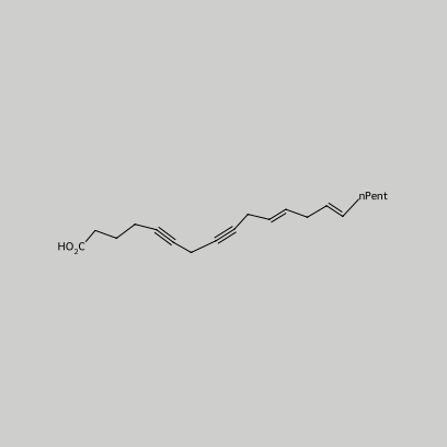 CCCCCC=CCC=CCC#CCC#CCCCC(=O)O